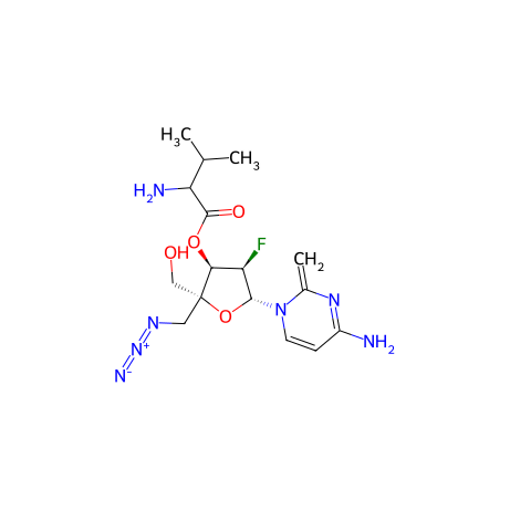 C=C1N=C(N)C=CN1[C@@H]1O[C@@](CO)(CN=[N+]=[N-])[C@@H](OC(=O)C(N)C(C)C)[C@H]1F